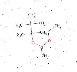 C=C(OCC)O[Si](C)(C)C(C)(C)C